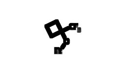 CCOC1(C(F)(F)F)CCC1